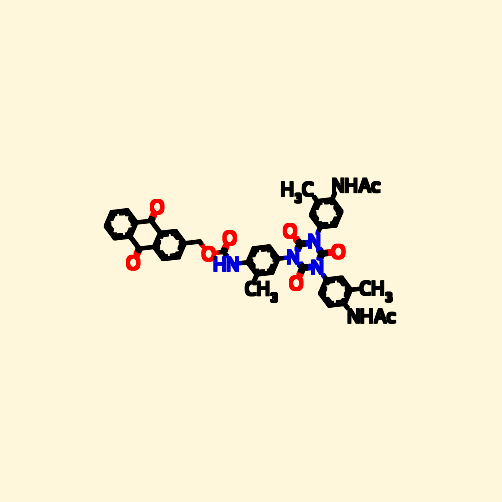 CC(=O)Nc1ccc(-n2c(=O)n(-c3ccc(NC(C)=O)c(C)c3)c(=O)n(-c3ccc(NC(=O)OCc4ccc5c(c4)C(=O)c4ccccc4C5=O)c(C)c3)c2=O)cc1C